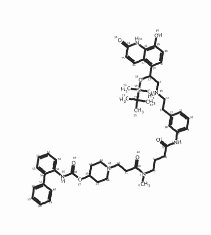 CN(CCCC(=O)Nc1cccc(CCNCC(O[Si](C)(C)C(C)(C)C)c2ccc(O)c3[nH]c(=O)ccc23)c1)C(=O)CCN1CCC(OC(=O)Nc2ccccc2-c2ccccc2)CC1